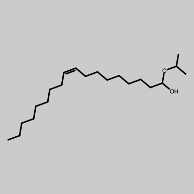 CCCCCCCC/C=C\CCCCCCCC(O)OC(C)C